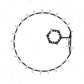 c1cncc(C2NC3CCCCCCCCCCCCCCCCCCCCCC2CC3)c1